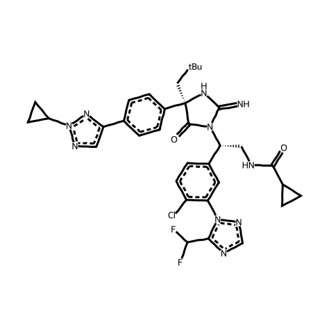 CC(C)(C)C[C@]1(c2ccc(-c3cnn(C4CC4)n3)cc2)NC(=N)N([C@H](CNC(=O)C2CC2)c2ccc(Cl)c(-n3ncnc3C(F)F)c2)C1=O